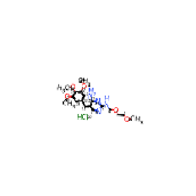 COCCOCNc1ncc(Cc2cc(OC)c(OC)c(OC)c2)c(N)n1.Cl